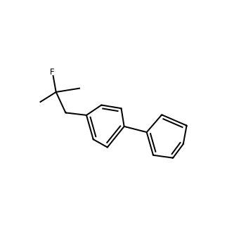 CC(C)(F)Cc1ccc(-c2ccccc2)cc1